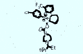 CCCC(CC)N1CCN(C(=O)OC[C@H]2CCC[C@@H](c3cccc(C(F)(F)F)c3)N2S(=O)(=O)c2ccc(Cl)cc2)CC1